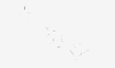 O=C1CCC(CCCNS(=O)(=O)c2cc(Cl)c(Oc3ccc([N+](=O)[O-])cc3Cl)c(Cl)c2)N1